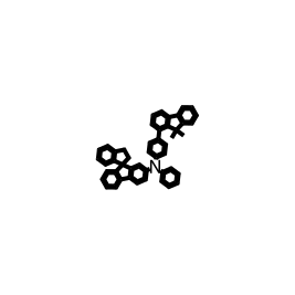 CC1(C)c2ccccc2-c2cccc(-c3ccc(N(c4ccccc4)c4ccc5c(c4)C4(CCc6ccccc64)c4ccccc4-5)cc3)c21